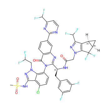 CS(=O)(=O)Nc1nn(CC(F)F)c2c(-n3c([C@H](Cc4cc(F)cc(F)c4)NC(=O)Cn4nc(C(F)F)c5c4C(F)(F)[C@@H]4C[C@H]54)nc4cc(-c5nccc(C(F)F)n5)ccc4c3=O)ccc(Cl)c12